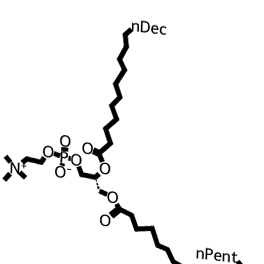 CCCCC/C=C\C/C=C\CCCCCCCC(=O)OC[C@H](COP(=O)([O-])OCC[N+](C)(C)C)OC(=O)CCCCCCCCCCCCCCCCCCCC